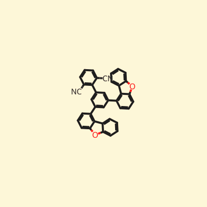 N#Cc1cccc(C#N)c1-c1cc(-c2cccc3oc4ccccc4c23)cc(-c2cccc3oc4ccccc4c23)c1